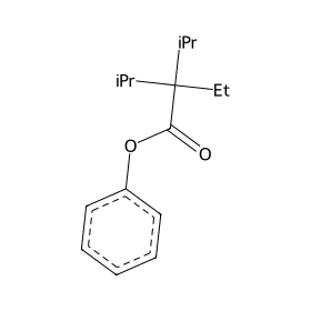 CCC(C(=O)Oc1ccccc1)(C(C)C)C(C)C